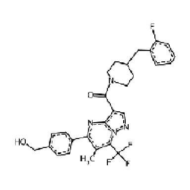 Cc1c(-c2ccc(CO)cc2)nc2c(C(=O)N3CCC(Cc4ccccc4F)CC3)cnn2c1C(F)(F)F